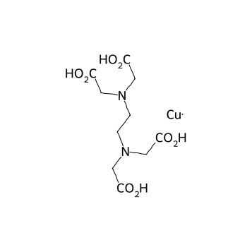 O=C(O)CN(CCN(CC(=O)O)CC(=O)O)CC(=O)O.[Cu]